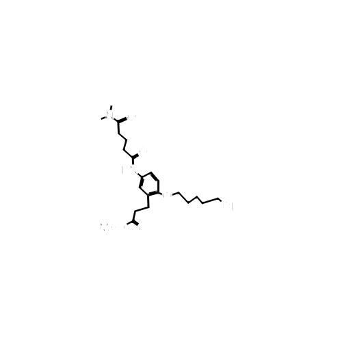 COC(=O)CCc1cc(NC(=O)CCCC(=O)N(C)C)ccc1OCCCCCO